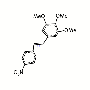 COc1cc(/C=C/c2ccc([N+](=O)[O-])cc2)cc(OC)c1OC